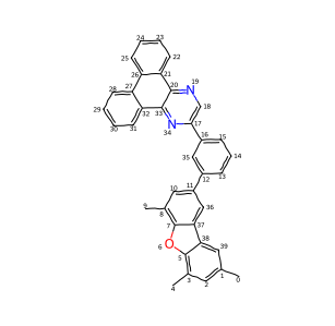 Cc1cc(C)c2oc3c(C)cc(-c4cccc(-c5cnc6c7ccccc7c7ccccc7c6n5)c4)cc3c2c1